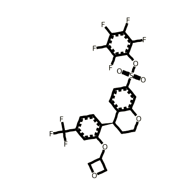 O=S(=O)(Oc1c(F)c(F)c(F)c(F)c1F)c1ccc2c(c1)OCC[C@H]2c1ccc(C(F)(F)F)cc1OC1COC1